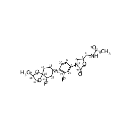 CC(=O)NCC1CN(c2ccc(N3CCC4(OCC(C)O4)C(F)C3)c(F)c2)C(=O)O1